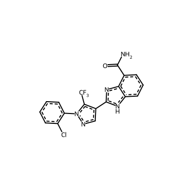 NC(=O)c1cccc2[nH]c(-c3cnn(-c4ccccc4Cl)c3C(F)(F)F)nc12